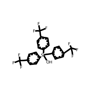 O[Si](c1ccc(C(F)(F)F)cc1)(c1ccc(C(F)(F)F)cc1)c1ccc(C(F)(F)F)cc1